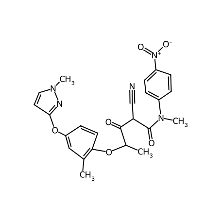 Cc1cc(Oc2ccn(C)n2)ccc1OC(C)C(=O)C(C#N)C(=O)N(C)c1ccc([N+](=O)[O-])cc1